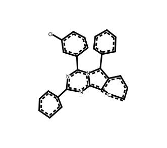 Clc1cccc(-c2nc(-c3ccccc3)nc3c4ccccc4c(-c4ccccc4)n23)c1